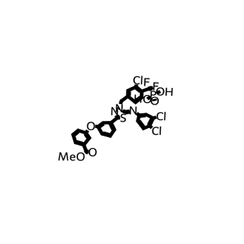 COC(=O)c1cccc(Oc2cccc(-c3nn(Cc4ccc(C(F)(F)P(=O)(O)O)c(Cl)c4)c(=Nc4ccc(Cl)c(Cl)c4)s3)c2)c1